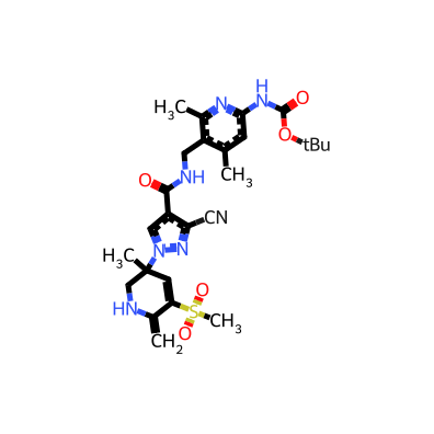 C=C1NCC(C)(n2cc(C(=O)NCc3c(C)cc(NC(=O)OC(C)(C)C)nc3C)c(C#N)n2)C=C1S(C)(=O)=O